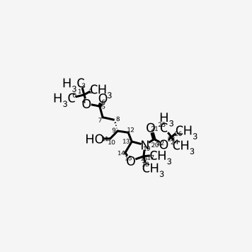 CC(C)(C)OC(=O)CC[C@@H](CO)CC1COC(C)(C)N1C(=O)OC(C)(C)C